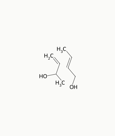 C=CC(C)O.CC=CCO